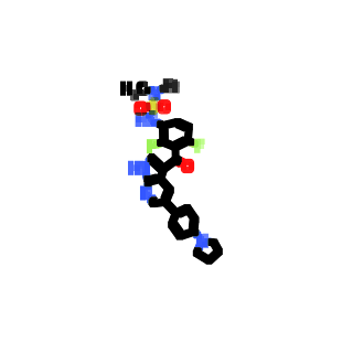 CCN(C)S(=O)(=O)Nc1ccc(F)c(C(=O)c2c[nH]c3ncc(-c4ccc(N5CCCC5)cc4)cc23)c1F